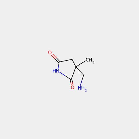 CC1(CN)CC(=O)NC1=O